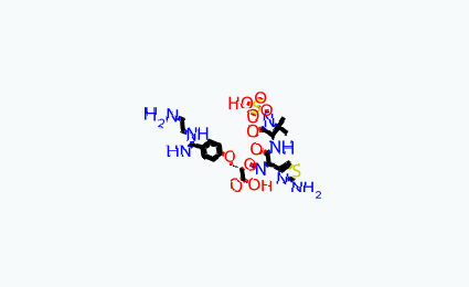 CC1(C)[C@H](NC(=O)/C(=N\O[C@@H](COc2ccc(C(=N)NCCN)cc2)C(=O)O)c2csc(N)n2)C(=O)N1OS(=O)(=O)O